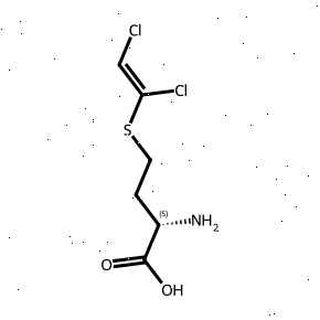 N[C@@H](CCSC(Cl)=CCl)C(=O)O